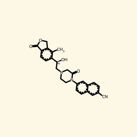 Cc1c([C@@H](O)CN2CCN(c3ccc4cc(C#N)ccc4c3)C(=O)C2)ccc2c1COC2=O